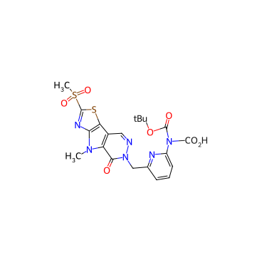 Cn1c2nc(S(C)(=O)=O)sc2c2cnn(Cc3cccc(N(C(=O)O)C(=O)OC(C)(C)C)n3)c(=O)c21